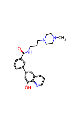 CN1CCN(CCCNC(=O)c2cccc(-c3cc(O)c4ncccc4c3)c2)CC1